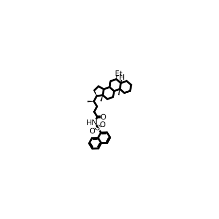 CC[C@H]1CC2C3CC[C@H]([C@H](C)CCC(=O)NS(=O)(=O)c4cccc5ccccc45)[C@@]3(C)CCC2[C@@]2(C)CCCC[C@@H]12